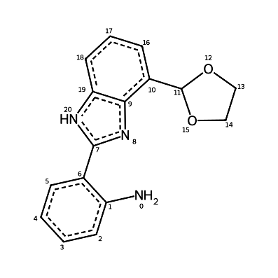 Nc1ccccc1-c1nc2c(C3OCCO3)cccc2[nH]1